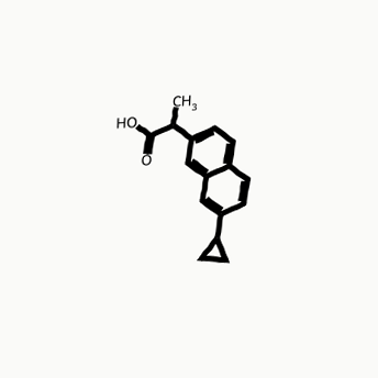 CC(C(=O)O)c1ccc2ccc(C3CC3)cc2c1